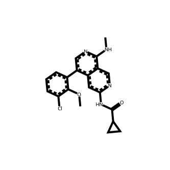 CNc1ncc(-c2cccc(Cl)c2OC)c2cc(NC(=O)C3CC3)ncc12